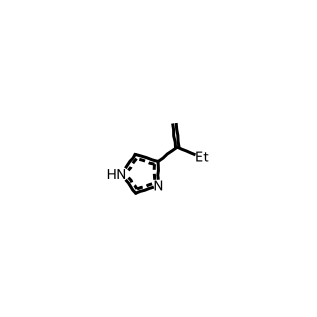 C=C(CC)c1c[nH]cn1